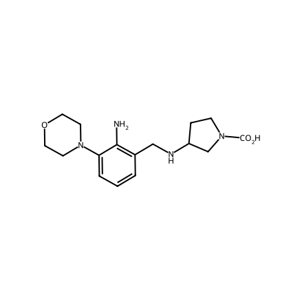 Nc1c(CNC2CCN(C(=O)O)C2)cccc1N1CCOCC1